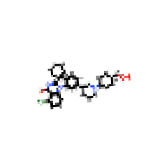 O=c1nc2n(c3cccc(Cl)c13)-c1cc(C3CCCN(C4CCC(CO)CC4)C3)ccc1C21CCCCC1